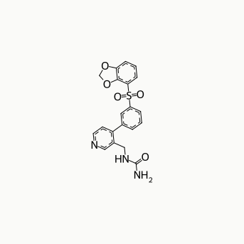 NC(=O)NCc1cnccc1-c1cccc(S(=O)(=O)c2cccc3c2OCO3)c1